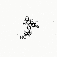 C[C@@H]1C[C@H](O)c2ncnc(N3CCN(C(NC4CCOCC4)C(C=O)c4ccc(Br)c(F)c4)CC3)c21